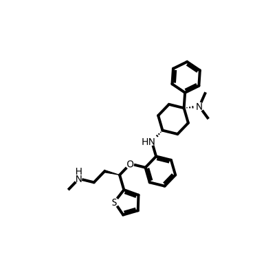 CNCC[C@@H](Oc1ccccc1N[C@H]1CC[C@@](c2ccccc2)(N(C)C)CC1)c1cccs1